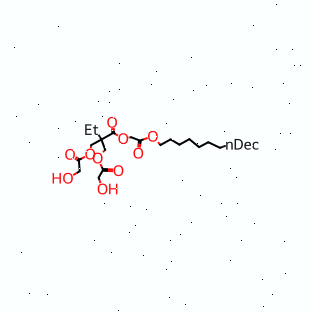 CCCCCCCCCCCCCCCCCOC(=O)COC(=O)C(CC)(COC(=O)CO)COC(=O)CO